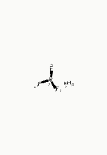 B.FN(F)F